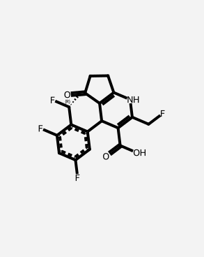 C[C@@H](F)c1c(F)cc(F)cc1C1C(C(=O)O)=C(CF)NC2=C1C(=O)CC2